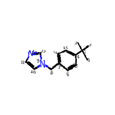 CC(C)(C)c1[c]cc(Cn2ccnc2)cc1